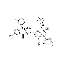 CN1CCCC(Oc2ccc(Cl)cc2Nc2nccc(-c3cc(C#N)c4c(c3)C(S)(CO[Si](C)(C)C(C)(C)C)CN4C(=O)OC(C)(C)C)n2)C1